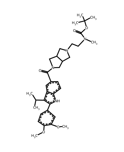 COc1ccc(-c2[nH]c3ccc(C(=O)N4CC5CN(CCN(C)C(=O)OC(C)(C)C)CC5C4)cc3c2C(C)C)cc1OC